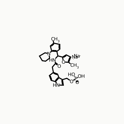 Cc1ccc(C(NC(=O)Cc2ccc3[nH]cc(COP(=O)(O)O)c3c2)c2ccc(C)o2)c(N2CCCCC2)c1.[Na].[Na]